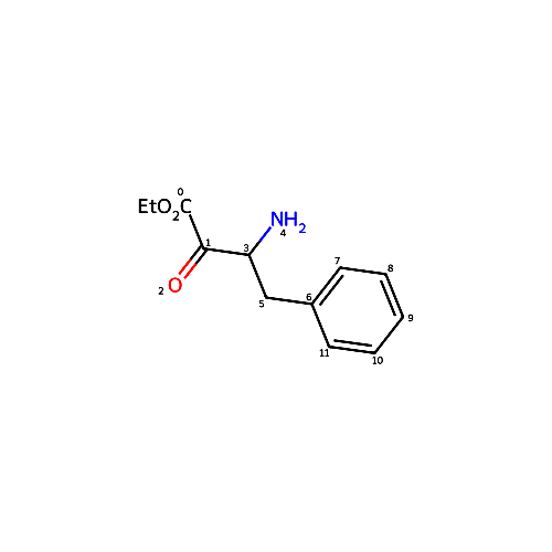 CCOC(=O)C(=O)C(N)Cc1ccccc1